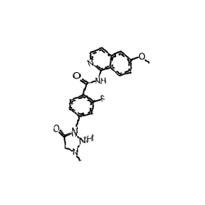 COc1ccc2c(NC(=O)c3ccc(N4NN(C)CC4=O)cc3F)nccc2c1